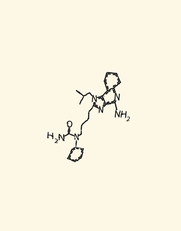 CC(C)Cn1c(CCCCN(C(N)=O)c2ccccc2)nc2c(N)nc3ccccc3c21